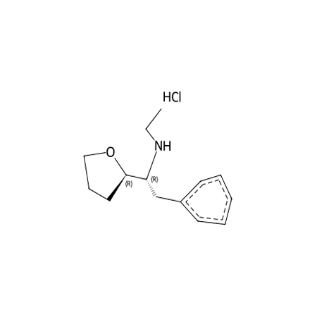 CCN[C@H](Cc1ccccc1)[C@H]1CCCO1.Cl